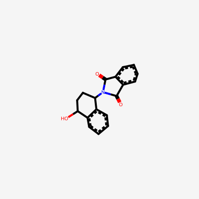 O=C1c2ccccc2C(=O)N1C1CCC(O)c2ccccc21